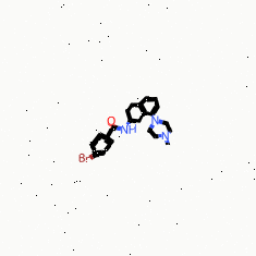 CN1CCN(c2cccc3c2CC(NC(=O)c2ccc(Br)cc2)CC3)CC1